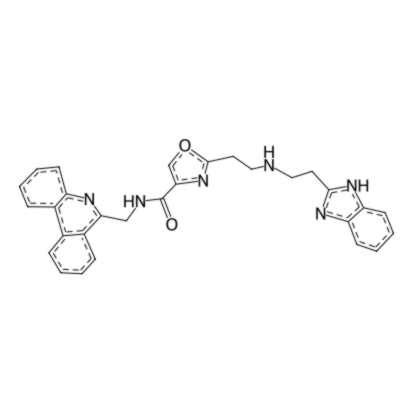 O=C(NCc1nc2ccccc2c2ccccc12)c1coc(CCNCCc2nc3ccccc3[nH]2)n1